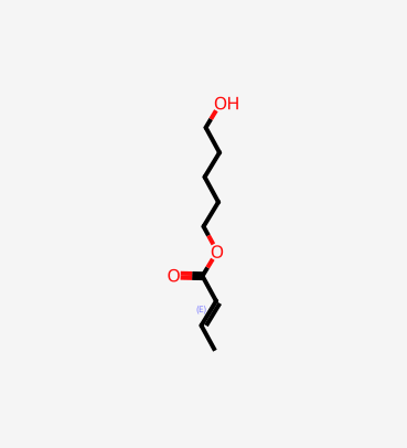 C/C=C/C(=O)OCCCCCO